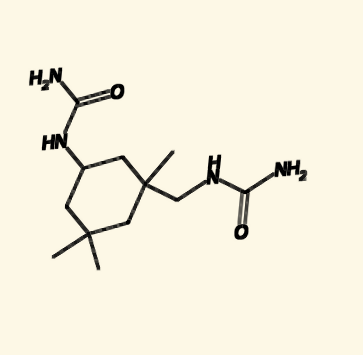 CC1(C)CC(NC(N)=O)CC(C)(CNC(N)=O)C1